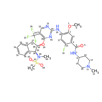 COc1cc(C(=O)NC2CCN(C)CC2)c(F)cc1Nc1ncc(C(F)(F)F)c(O[C@@H]2Cc3ccccc3[C@@H]2N(C)S(C)(=O)=O)n1